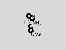 COc1ccc(CCNc2c(N)cnc3ccccc23)cc1